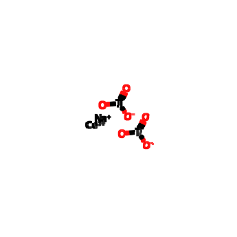 [Ce+3].[Na+].[O]=[Ti]([O-])[O-].[O]=[Ti]([O-])[O-]